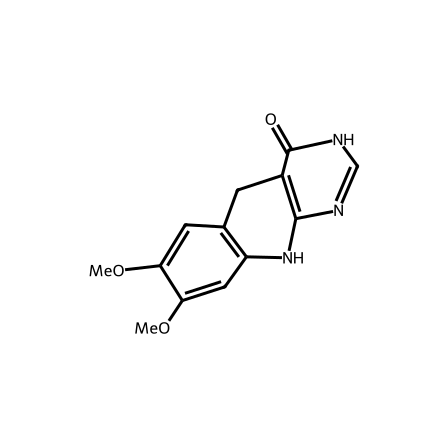 COc1cc2c(cc1OC)Nc1nc[nH]c(=O)c1C2